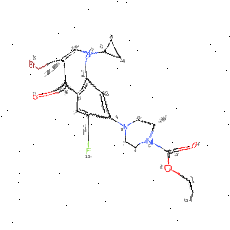 CCOC(=O)N1CCN(c2cc3c(cc2F)c(=O)c(Br)cn3C2CC2)CC1